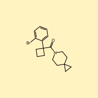 O=C(N1CCC2(CC1)CC2)C1(c2ccccc2Br)CCC1